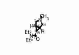 CCN(CC)C(=O)[C@H]1[C@@H]2CN(C)C[C@@H]21